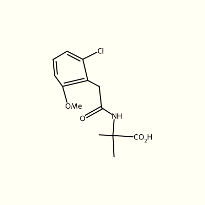 COc1cccc(Cl)c1CC(=O)NC(C)(C)C(=O)O